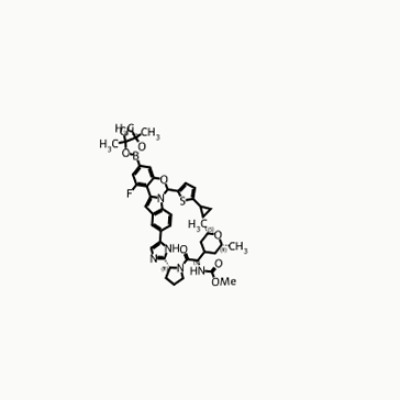 COC(=O)N[C@H](C(=O)N1CCC[C@@H]1c1ncc(-c2ccc3c(c2)cc2n3C(c3ccc(C4CC4)s3)Oc3cc(B4OC(C)(C)C(C)(C)O4)cc(F)c3-2)[nH]1)C1C[C@@H](C)O[C@@H](C)C1